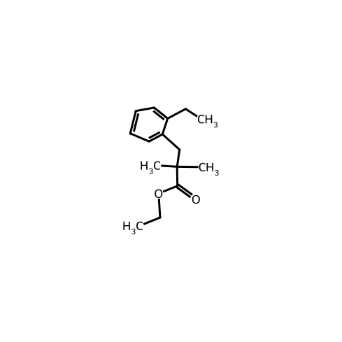 CCOC(=O)C(C)(C)Cc1ccccc1CC